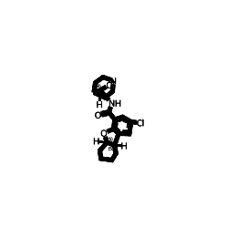 O=C(N[C@H]1CN2CCC1CC2)c1cc(Cl)cc2c1O[C@H]1CCCC[C@@H]21